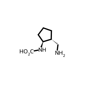 NC[C@H]1CCC[C@@H]1NC(=O)O